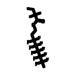 CCC(C)(C)C(=O)OCCC(F)(F)C(F)(F)C(F)(F)C(F)(F)C(C)(F)F